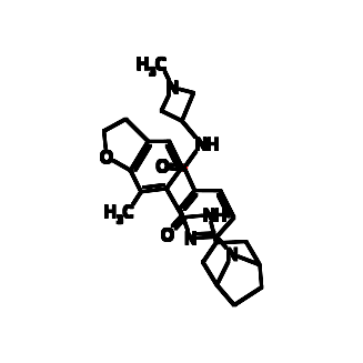 Cc1c(C(=O)NC2CC3CCC(C2)N3c2ccc(C(=O)NC3CN(C)C3)cn2)ccc2c1OCC2